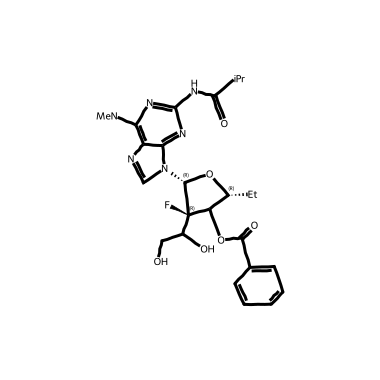 CC[C@H]1O[C@@H](n2cnc3c(NC)nc(NC(=O)C(C)C)nc32)[C@@](F)(C(O)CO)C1OC(=O)c1ccccc1